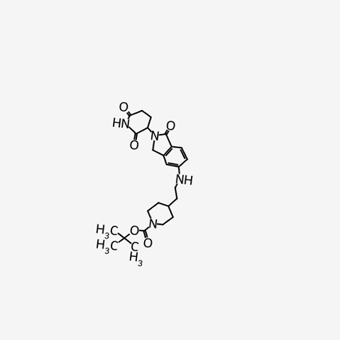 CC(C)(C)OC(=O)N1CCC(CCNc2ccc3c(c2)CN(C2CCC(=O)NC2=O)C3=O)CC1